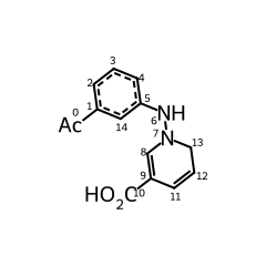 CC(=O)c1cccc(NN2C=C(C(=O)O)C=CC2)c1